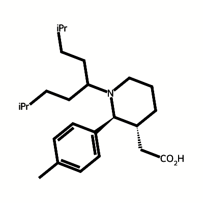 Cc1ccc([C@@H]2[C@@H](CC(=O)O)CCCN2C(CCC(C)C)CCC(C)C)cc1